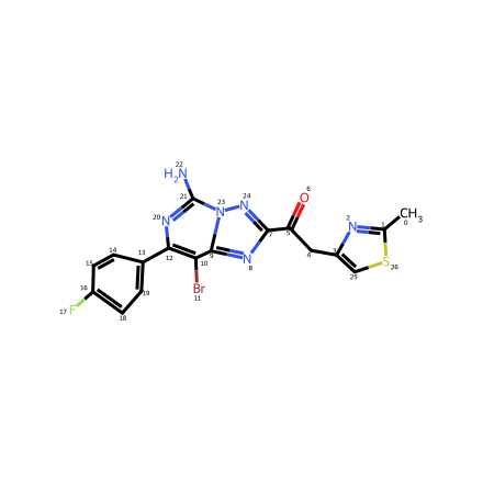 Cc1nc(CC(=O)c2nc3c(Br)c(-c4ccc(F)cc4)nc(N)n3n2)cs1